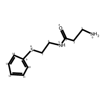 NCCC(=O)NCCSc1ccccc1